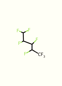 FC(F)C(F)C(F)C(F)C(F)(F)F